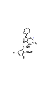 C=C(NC(C)c1cc(Cl)cc(Br)c1OC)c1ncn(C2CCCCO2)c1/N=C\N